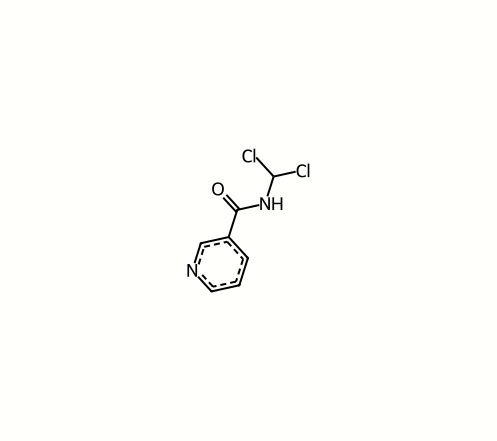 O=C(NC(Cl)Cl)c1cccnc1